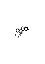 Cc1ccc2oc3c4ccccc4c(N)nc3c2c1